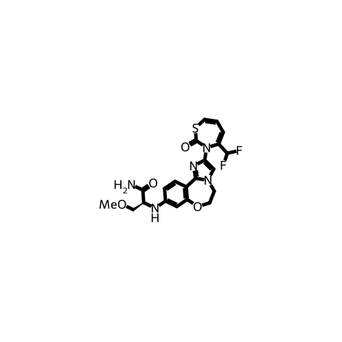 COC[C@H](Nc1ccc2c(c1)OCCn1cc(N3C(=O)SC=CC=C3C(F)F)nc1-2)C(N)=O